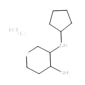 Cl.Cl.NC1CCOCC1NC1CCCC1